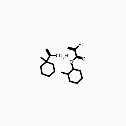 C=C(C(=O)O)C1(C)CCCCC1.C=C(CC)C(=O)OC1CCCCC1C